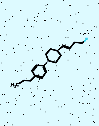 CCCc1ccc([C@H]2CC[C@H](/C=C/CCF)CC2)cc1